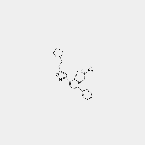 CC(C)NC(=O)Cn1c(-c2ccccc2)ccc(-c2noc(CCN3CCCCC3)n2)c1=O